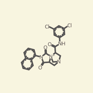 O=C(Nc1cc(Cl)cc(Cl)c1)C1CN2CC3C(=O)N(c4cccc5ccccc45)C(=O)[N+]13C2